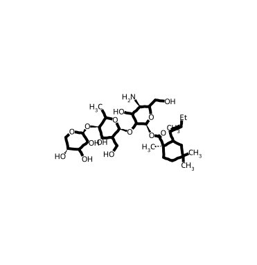 CC/C=C(\C)C1CC(C)(C)CC[C@@]1(C)C(=O)O[C@@H]1OC(CO)[C@H](N)C(O)C1O[C@@H]1OC(C)[C@H](O[C@@H]2OC[C@@H](O)C(O)C2O)C(O)C1CO